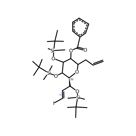 C=CCC1O[C@@H](C(/C=C/I)O[Si](C)(C)C(C)(C)C)C(O[Si](C)(C)C(C)(C)C)C(O[Si](C)(C)C(C)(C)C)C1OC(=O)c1ccccc1